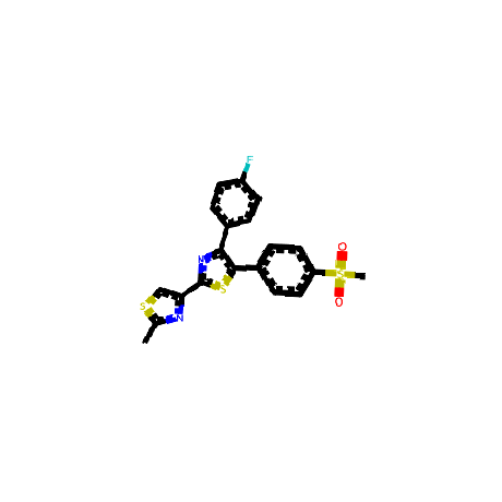 Cc1nc(-c2nc(-c3ccc(F)cc3)c(-c3ccc(S(C)(=O)=O)cc3)s2)cs1